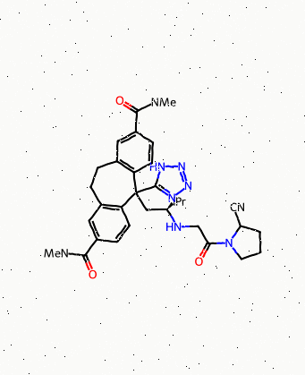 CNC(=O)c1ccc2c(c1)CCc1cc(C(=O)NC)ccc1C2(C[C@H](NCC(=O)N1CCCC1C#N)C(C)C)c1nnn[nH]1